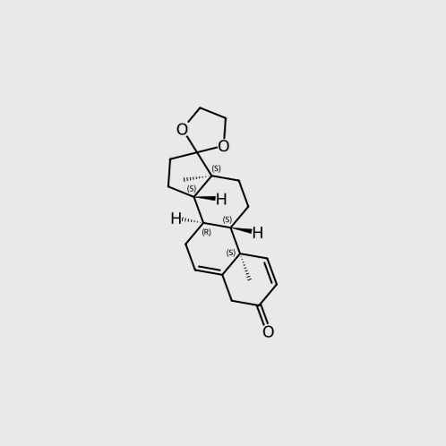 C[C@]12C=CC(=O)CC1=CC[C@@H]1[C@@H]2CC[C@@]2(C)[C@H]1CCC21OCCO1